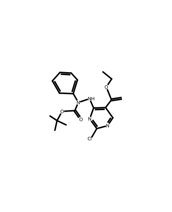 C=C(OCC)c1cnc(Cl)nc1NN(C(=O)OC(C)(C)C)c1ccccc1